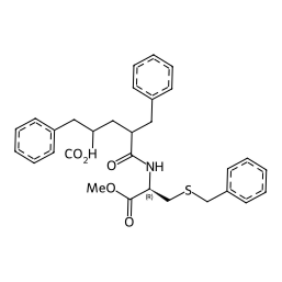 COC(=O)[C@H](CSCc1ccccc1)NC(=O)C(Cc1ccccc1)CC(Cc1ccccc1)C(=O)O